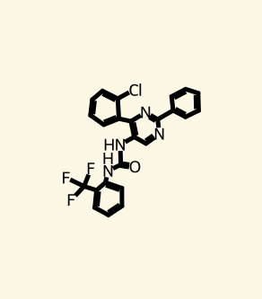 O=C(Nc1ccccc1C(F)(F)F)Nc1cnc(-c2ccccc2)nc1-c1ccccc1Cl